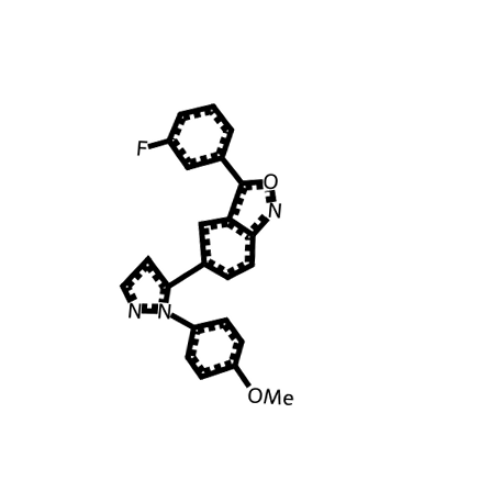 COc1ccc(-n2nccc2-c2ccc3noc(-c4cccc(F)c4)c3c2)cc1